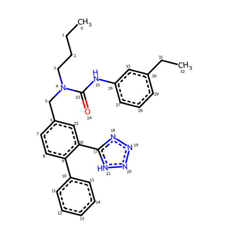 CCCCN(Cc1ccc(-c2ccccc2)c(-c2nnn[nH]2)c1)C(=O)Nc1cccc(CC)c1